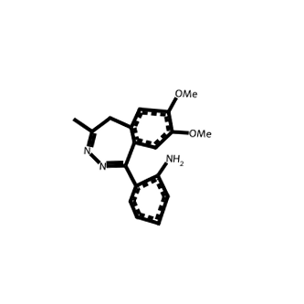 COc1cc2c(cc1OC)C(c1ccccc1N)=NN=C(C)C2